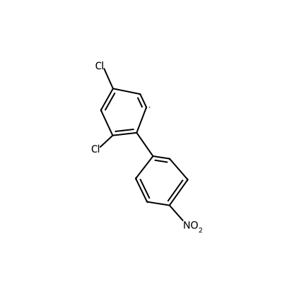 O=[N+]([O-])c1ccc(-c2[c]cc(Cl)cc2Cl)cc1